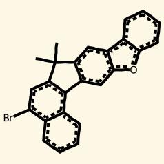 CC1(C)c2cc3c(cc2-c2c1cc(Br)c1ccccc21)oc1ccccc13